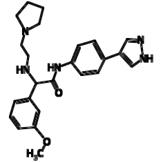 COc1cccc(C(NCCN2CCCC2)C(=O)Nc2ccc(-c3cn[nH]c3)cc2)c1